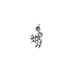 Cc1nc2c(-c3cc(F)c(F)cc3F)nc(N3CCOC(c4cnn(C)c4)C3)nc2c(=O)n1C